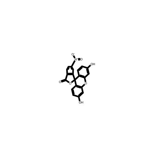 O=C1OC2(c3ccc(O)cc3Oc3cc(O)ccc32)c2cc([N+](=O)[O-])ccc21